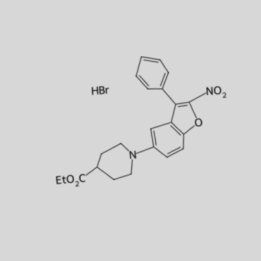 Br.CCOC(=O)C1CCN(c2ccc3oc([N+](=O)[O-])c(-c4ccccc4)c3c2)CC1